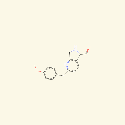 COc1ccc(Cc2ccc3c(n2)CNC3C=O)cc1